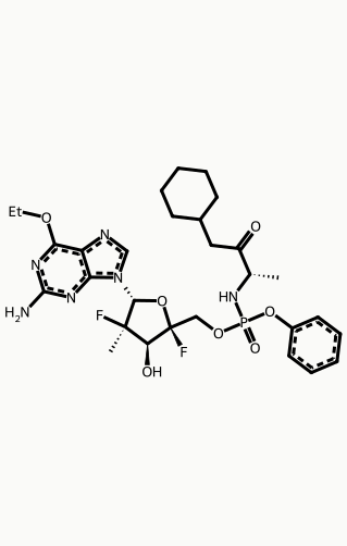 CCOc1nc(N)nc2c1ncn2[C@@H]1O[C@](F)(COP(=O)(N[C@@H](C)C(=O)CC2CCCCC2)Oc2ccccc2)[C@@H](O)[C@@]1(C)F